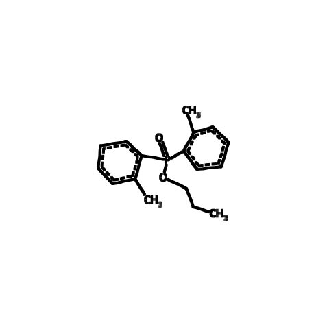 CCCOP(=O)(c1ccccc1C)c1ccccc1C